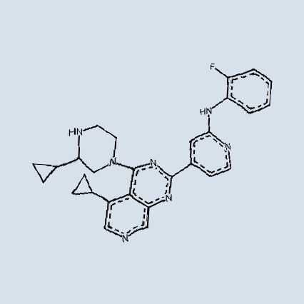 Fc1ccccc1Nc1cc(-c2nc(N3CCNC(C4CC4)C3)c3c(C4CC4)cncc3n2)ccn1